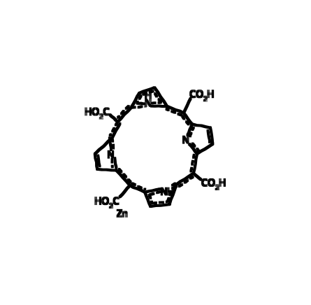 O=C(O)c1c2nc(c(C(=O)O)c3ccc([nH]3)c(C(=O)O)c3nc(c(C(=O)O)c4ccc1[nH]4)C=C3)C=C2.[Zn]